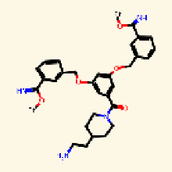 CCOC(=N)c1cccc(COc2cc(OCc3cccc(C(=N)OCC)c3)cc(C(=O)N3CCC(CCN)CC3)c2)c1